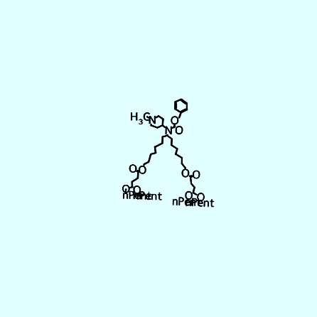 CCCCCOC(CCC(=O)OCCCCCCCC(CCCCCCCOC(=O)CCC(OCCCCC)OCCCCC)N(C(=O)OCc1ccccc1)C1CCN(C)CC1)OCCCCC